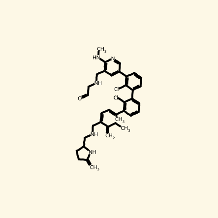 C=C1CCC(CNC/C(=C/C=C(\C)c2cccc(-c3cccc(-c4cnc(NC)c(CNCC=O)c4)c3Cl)c2Cl)C(=C)CC)N1